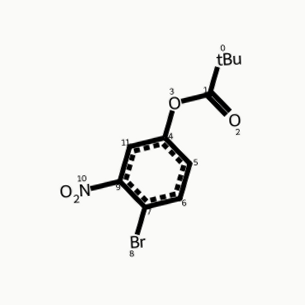 CC(C)(C)C(=O)Oc1ccc(Br)c([N+](=O)[O-])c1